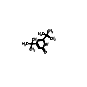 CC(C)(C)c1cc(C(C)(C)C)[nH]c(=O)c1